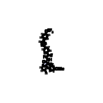 COc1ccc(N2/C(=N/C(=O)NC(F)C(F)c3ccc(-c4ncn(-c5ccc(OC(F)(F)F)cc5)n4)cc3)SCCC2C)c(C(C)C)c1